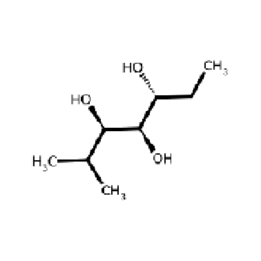 CC[C@@H](O)[C@@H](O)[C@H](O)C(C)C